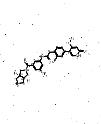 CCOc1cc(=O)[nH]cc1-c1ccc(CC(=O)Nc2cc(C(=O)N3C[C@H]4CNC[C@H]4C3)cc(C(F)(F)F)c2)c(F)c1